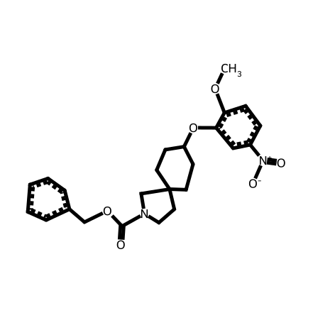 COc1ccc([N+](=O)[O-])cc1OC1CCC2(CC1)CCN(C(=O)OCc1ccccc1)C2